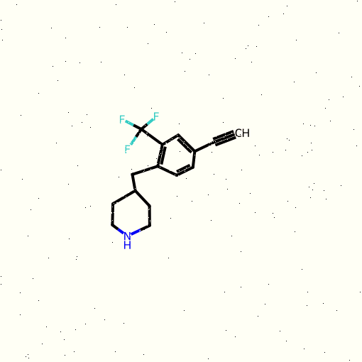 C#Cc1ccc(CC2CCNCC2)c(C(F)(F)F)c1